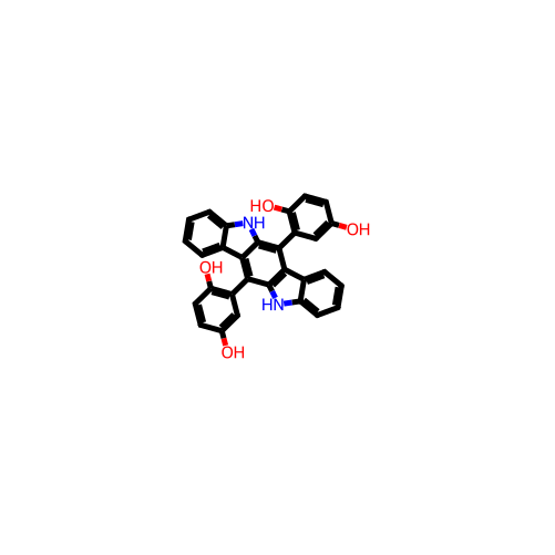 Oc1ccc(O)c(-c2c3[nH]c4ccccc4c3c(-c3cc(O)ccc3O)c3[nH]c4ccccc4c23)c1